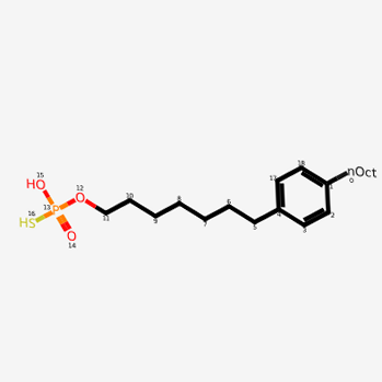 CCCCCCCCc1ccc(CCCCCCCOP(=O)(O)S)cc1